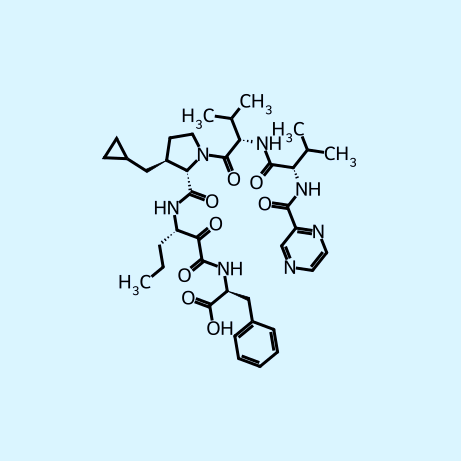 CCC[C@H](NC(=O)[C@@H]1[C@@H](CC2CC2)CCN1C(=O)[C@@H](NC(=O)[C@@H](NC(=O)c1cnccn1)C(C)C)C(C)C)C(=O)C(=O)N[C@@H](Cc1ccccc1)C(=O)O